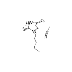 CC#N.CCCCN1CC(=O)NC1=S